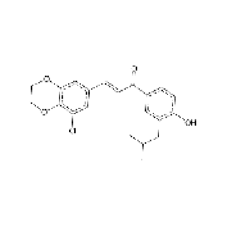 CC(C)Cc1cc(C(=O)/C=C/c2cc(Cl)c3c(c2)OCCO3)ccc1O